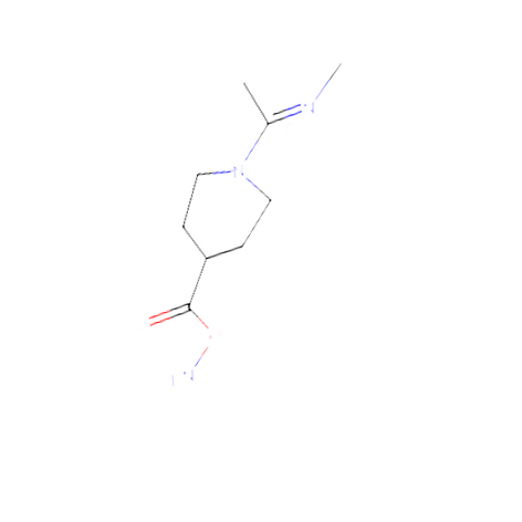 C/N=C(\C)N1CCC(C(=O)ON)CC1